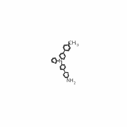 Cc1ccc(-c2ccc(N(c3ccccc3)c3ccc(-c4ccc(N)cc4)cc3)cc2)cc1